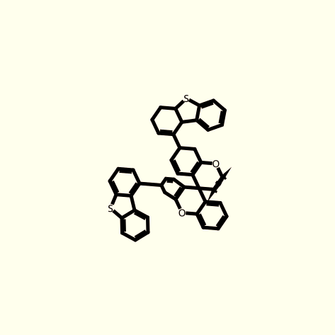 C1=CC(C2=CCCC3Sc4ccccc4C23)CC2=C1C1(C3=C(CC(c4cccc5sc6ccccc6c45)C=C3)Oc3ccccc31)c1ccccc1O2